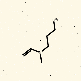 C=CN(C)CCCCCC